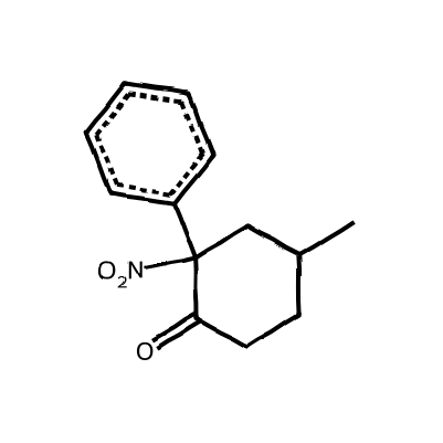 CC1CCC(=O)C(c2ccccc2)([N+](=O)[O-])C1